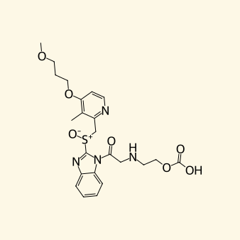 COCCCOc1ccnc(C[S+]([O-])c2nc3ccccc3n2C(=O)CNCCOC(=O)O)c1C